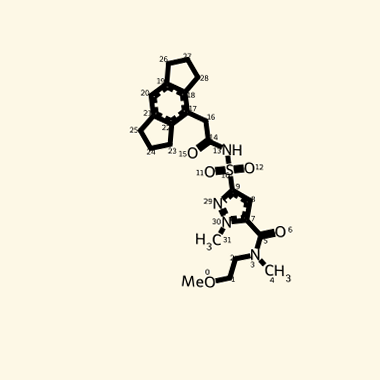 COCCN(C)C(=O)c1cc(S(=O)(=O)NC(=O)Cc2c3c(cc4c2CCC4)CCC3)nn1C